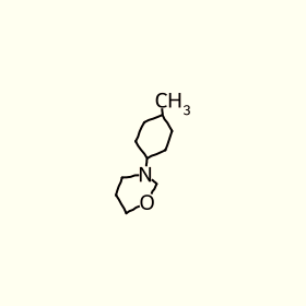 CC1CCC(N2CCCOC2)CC1